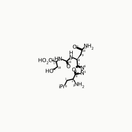 CC(C)C[C@H](N)c1nnc([C@H](CC(N)=O)NC(=O)N[C@@H](CO)C(=O)O)o1